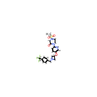 CS(=O)(=O)N1CCN(c2ccc(OC3CN(Cc4ccc(C(F)(F)F)cc4)C3)cn2)C(=O)C1